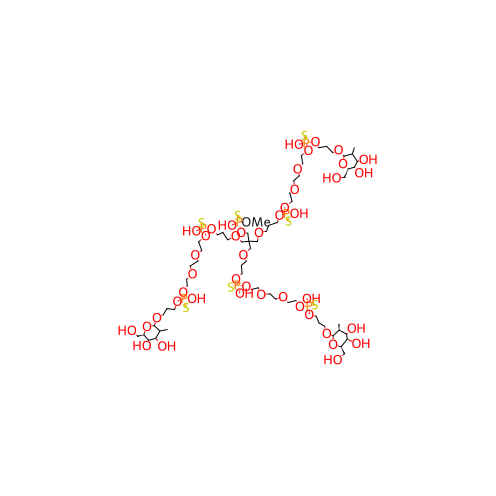 COP(O)(=S)OCC(COCCCOP(O)(=S)OCCOCCOCCOP(O)(=S)OCCCO[C@@H]1O[C@H](CO)[C@H](O)[C@H](O)C1C)(COCCCOP(O)(=S)OCCOCCOCCOP(O)(=S)OCCCO[C@@H]1O[C@H](CO)[C@H](O)[C@H](O)C1C)COCCCOP(O)(=S)OCCOCCOCCOP(O)(=S)OCCCO[C@@H]1O[C@H](CO)[C@H](O)[C@H](O)[C@@H]1C